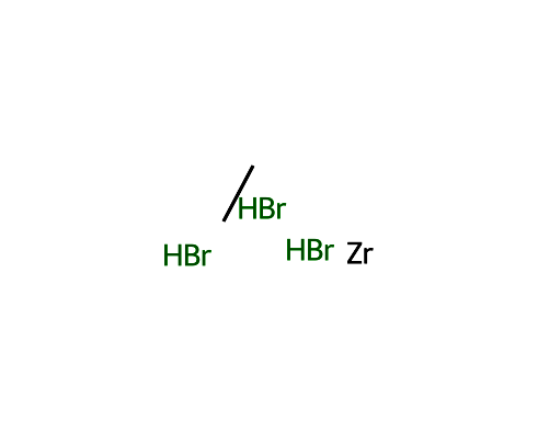 Br.Br.Br.CC.[Zr]